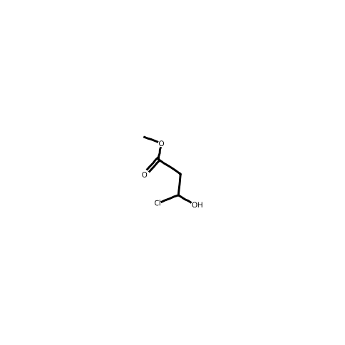 COC(=O)CC(O)Cl